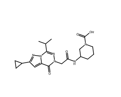 CC(C)c1nn(CC(=O)NC2CCCN(C(=O)O)C2)c(=O)c2cc(C3CC3)nn12